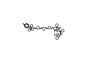 Cc1ccc(S(=O)(=O)OCCOCCOCCOCCOC(=O)C(C)NC(=O)[C@H](C)NC=O)cc1